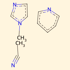 CC#N.Cn1ccnc1.c1ccncc1